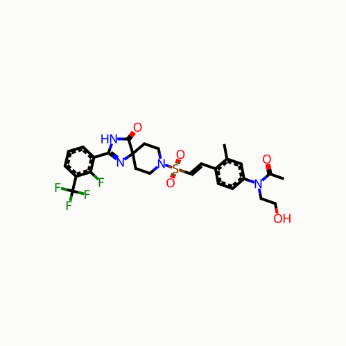 CC(=O)N(CCO)c1ccc(C=CS(=O)(=O)N2CCC3(CC2)N=C(c2cccc(C(F)(F)F)c2F)NC3=O)c(C)c1